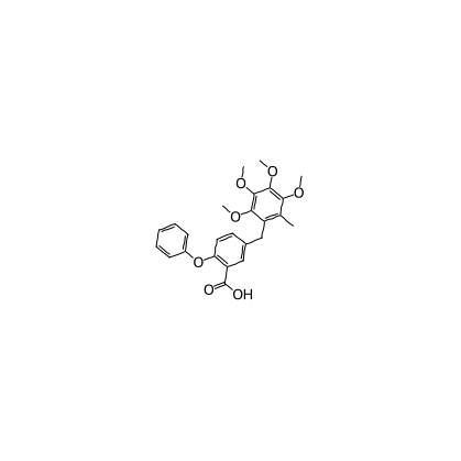 COc1c(C)c(Cc2ccc(Oc3ccccc3)c(C(=O)O)c2)c(OC)c(OC)c1OC